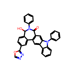 O=C1c2cc3c(cc2-c2cc(-c4nnco4)ccc2C(O)N1c1ccccc1)c1ccccc1n3-c1ccccc1